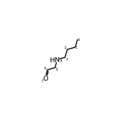 CCCCN[CH]C=O